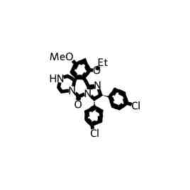 CCOc1cc(OC)ccc1C1=N[C@H](c2ccc(Cl)cc2)[C@H](c2ccc(Cl)cc2)N1C(=O)N1CCNCC1